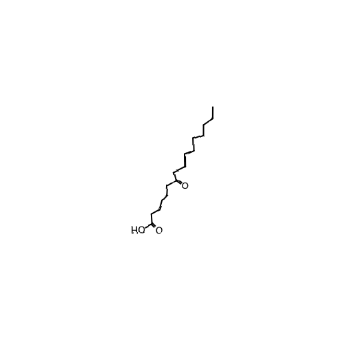 CCCCCCCCCC(=O)CCCCCC(=O)O